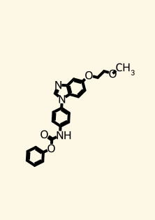 COCCOc1ccc2c(c1)ncn2-c1ccc(NC(=O)Oc2ccccc2)cc1